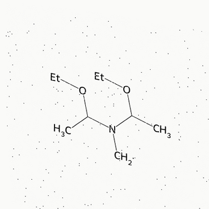 [CH2]N(C(C)OCC)C(C)OCC